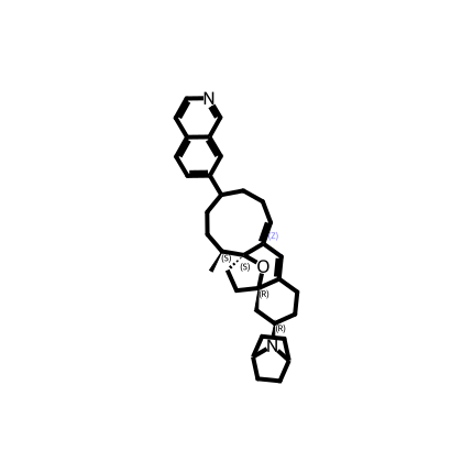 C[C@H]1CCC(c2ccc3ccncc3c2)CC/C=C2/C=C3CC[C@@H](N4C5CCC4CC5)C[C@]34CC[C@@]21O4